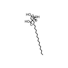 CCCCCCCCCCCCCCCCCC(CC(=O)O)(C(=O)O)S(=O)(=O)O